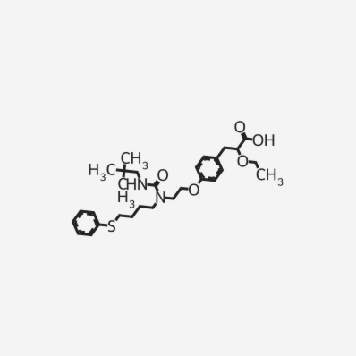 CCOC(Cc1ccc(OCCN(CCCCSc2ccccc2)C(=O)NCC(C)(C)C)cc1)C(=O)O